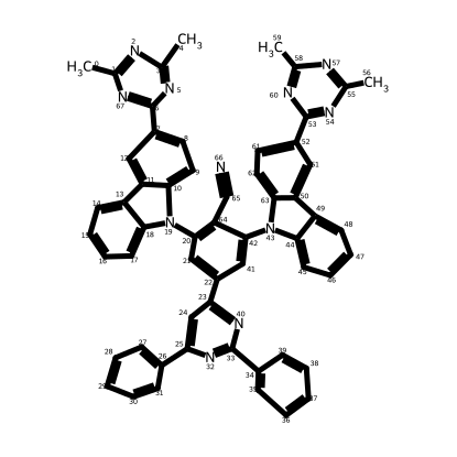 Cc1nc(C)nc(-c2ccc3c(c2)c2ccccc2n3-c2cc(-c3cc(-c4ccccc4)nc(-c4ccccc4)n3)cc(-n3c4ccccc4c4cc(-c5nc(C)nc(C)n5)ccc43)c2C#N)n1